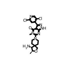 C[C@@H]1OCC2(CCN(c3nc4[nH]nc(-c5cc(Cl)ncc5Cl)c4c(=O)n3C)CC2)[C@@H]1N